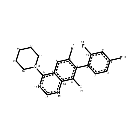 Fc1ccc(-c2c(Br)cc3c(N4CCCCC4)ncnc3c2F)c(F)c1